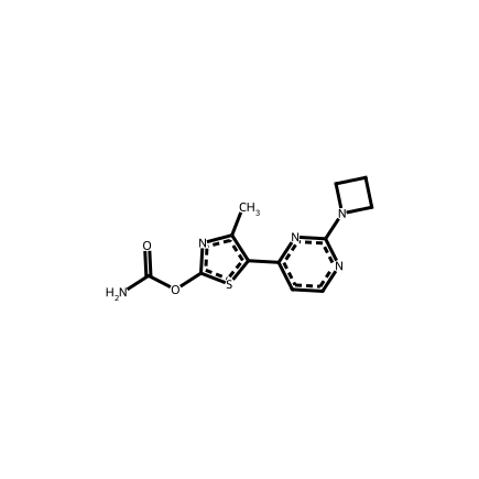 Cc1nc(OC(N)=O)sc1-c1ccnc(N2CCC2)n1